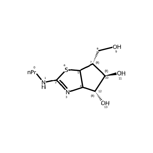 CCCNC1=NC2C(S1)[C@H](CO)[C@@H](O)[C@@H]2O